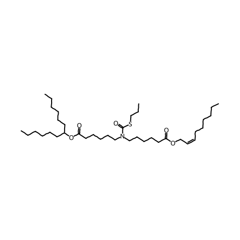 CCCCCC/C=C\COC(=O)CCCCCN(CCCCCC(=O)OC(CCCCCC)CCCCCC)C(=O)SCCC